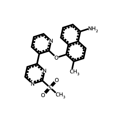 Cc1ccc2c(N)cccc2c1Oc1ncccc1-c1ccnc(S(C)(=O)=O)n1